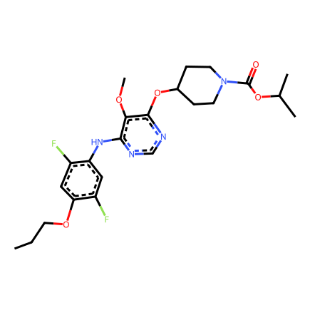 CCCOc1cc(F)c(Nc2ncnc(OC3CCN(C(=O)OC(C)C)CC3)c2OC)cc1F